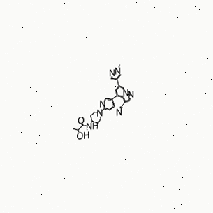 CC(O)C(=O)NC1CCN(c2ccc(-c3cc(-c4cnn(C)c4)cn4ncc(C#N)c34)cn2)CC1